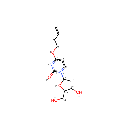 C=CCCOc1ccn(C2CC(O)C(CO)O2)c(=O)n1